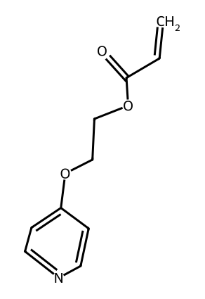 C=CC(=O)OCCOc1ccncc1